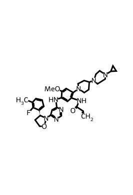 C=CC(=O)Nc1cc(Nc2cc(N3OCC[C@@H]3c3cccc(C)c3F)ncn2)c(OC)cc1N1CCC(N2CCN(C3CC3)CC2)CC1